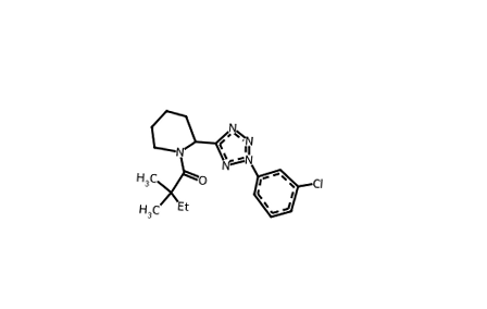 CCC(C)(C)C(=O)N1CCCCC1c1nnn(-c2cccc(Cl)c2)n1